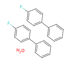 Fc1ccc(-c2ccccc2)cc1.Fc1ccc(-c2ccccc2)cc1.O